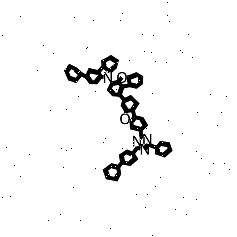 c1ccc(-c2ccc(-c3nc(-c4ccccc4)nc(-c4ccc5c(c4)oc4cc(-c6ccc(-n7c8ccccc8c8cc(-c9ccccc9)ccc87)c7oc8ccccc8c67)ccc45)n3)cc2)cc1